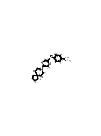 FC(F)(F)c1ccc(Sc2cnc(N3CCC4(CCCC4)CC3)cn2)cc1